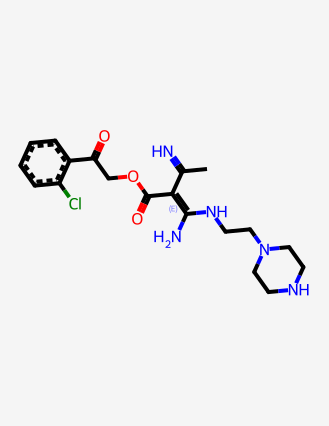 CC(=N)/C(C(=O)OCC(=O)c1ccccc1Cl)=C(/N)NCCN1CCNCC1